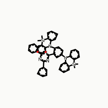 C[Si]1(C)c2ccccc2N(c2ccc(N3c4ccccc4[Si](C)(C)c4ccccc43)c(-c3nc(-c4ccccc4)nc(-c4ccccc4)n3)c2)c2ccccc21